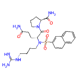 N=C(N)NCCCCN([C@H](CCC(N)=O)C(=O)N1CCC[C@H]1C(N)=O)S(=O)(=O)c1ccc2ccccc2c1